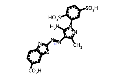 Cc1nn(-c2cc(S(=O)(=O)O)ccc2S(=O)(=O)O)c(N)c1/N=N/c1nc2ccc(C(=O)O)cc2s1